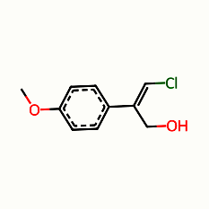 COc1ccc(C(=CCl)CO)cc1